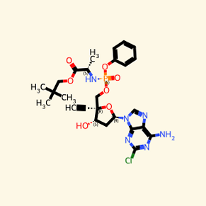 C#C[C@]1(CO[P@@](=O)(N[C@@H](C)C(=O)OCC(C)(C)C)Oc2ccccc2)O[C@@H](n2cnc3c(N)nc(Cl)nc32)C[C@@H]1O